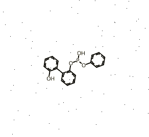 Oc1ccccc1-c1ccccc1OP(O)Oc1ccccc1